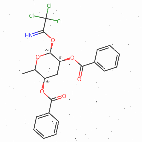 CC1O[C@@H](OC(=N)C(Cl)(Cl)Cl)[C@@H](OC(=O)c2ccccc2)C[C@H]1OC(=O)c1ccccc1